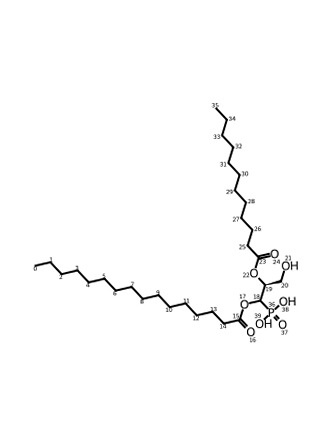 CCCCCCCCCCCCCCCC(=O)OC([C@H](CO)OC(=O)CCCCCCCCCCC)P(=O)(O)O